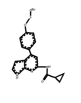 CCCCSOc1ccc(-c2cc(NC(=O)C3CC3)nc3[nH]ccc23)cc1